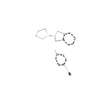 N#Cc1ccc(S[C@H]2c3ccccc3C[C@@H]2N2CCCC2)cc1